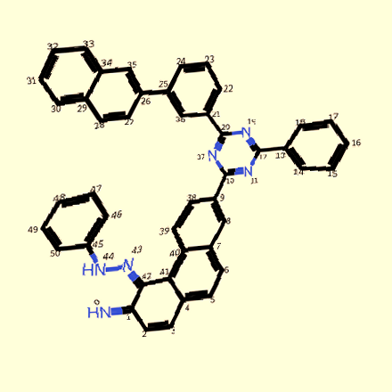 N=C1C=Cc2ccc3cc(-c4nc(-c5ccccc5)nc(-c5cccc(-c6ccc7ccccc7c6)c5)n4)ccc3c2/C1=N/Nc1ccccc1